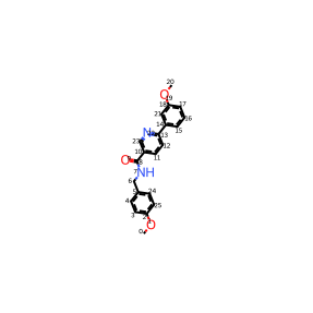 COc1ccc(CNC(=O)c2ccc(-c3cccc(OC)c3)nc2)cc1